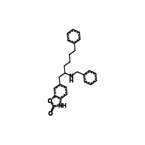 O=c1[nH]c2ccc(CC(CCCCc3ccccc3)NCc3ccccc3)cc2o1